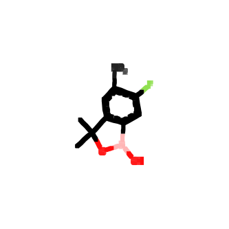 CC1(C)OB(O)c2cc(F)c([N+](=O)[O-])cc21